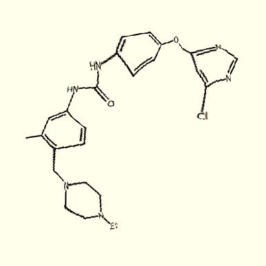 CCN1CCN(Cc2ccc(NC(=O)Nc3ccc(Oc4cc(Cl)ncn4)cc3)cc2C)CC1